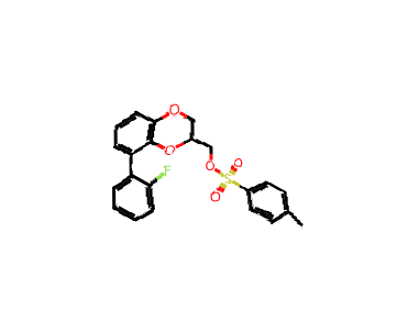 Cc1ccc(S(=O)(=O)OCC2COc3cccc(-c4ccccc4F)c3O2)cc1